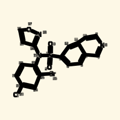 O=S(=O)(c1ccc2cnccc2c1)N(c1ccon1)c1ccc(Cl)cc1Br